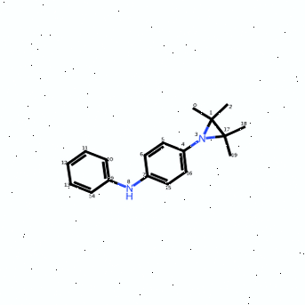 CC1(C)N(c2ccc(Nc3ccccc3)cc2)C1(C)C